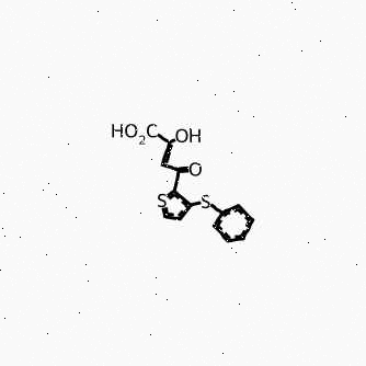 O=C(O)/C(O)=C/C(=O)c1sccc1Sc1ccccc1